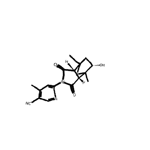 Cc1cc(N2C(=O)[C@@H]3[C@H](C2=O)C2(C)C[C@H](O)C3(C)O2)ncc1C#N